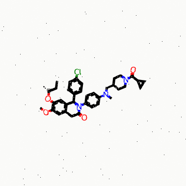 CC[C@@H](C)Oc1cc2c(cc1OC)CC(=O)N(c1ccc(N(C)CC3CCN(C(=O)C4CC4)CC3)cc1)C2c1ccc(Cl)cc1